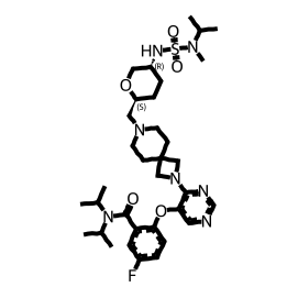 CC(C)N(C(=O)c1cc(F)ccc1Oc1cncnc1N1CC2(CCN(C[C@@H]3CC[C@@H](NS(=O)(=O)N(C)C(C)C)CO3)CC2)C1)C(C)C